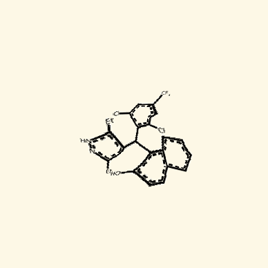 CCc1n[nH]c(CC)c1C(c1c(Cl)cc(C(F)(F)F)cc1Cl)c1c(O)ccc2ccccc12